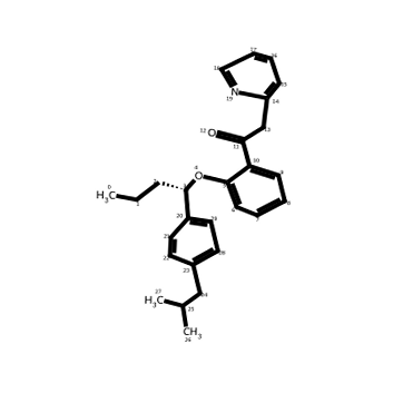 CCC[C@H](Oc1ccccc1C(=O)Cc1ccccn1)c1ccc(CC(C)C)cc1